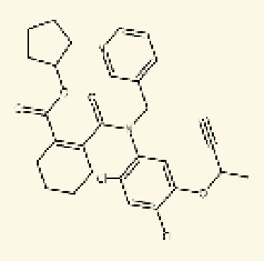 C#CC(C)Oc1cc(N(Cc2cccnc2)C(=O)C2=C(C(=O)OC3CCCC3)CCCC2)c(Cl)cc1Cl